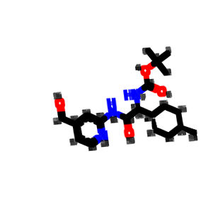 CC(C)(C)OC(=O)N[C@H](C(=O)Nc1cc(C=O)ccn1)[C@H]1CC[C@H](C)CC1